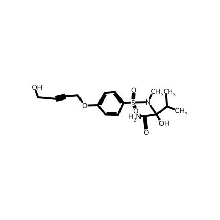 CC(C)C(O)(C(N)=O)N(C)S(=O)(=O)c1ccc(OCC#CCO)cc1